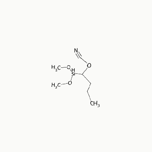 CCCC(OC#N)[SiH](OC)OC